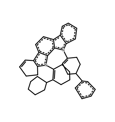 C1=Cc2c(n(C3=C(C4CCCCC4)CCCC3)c3c2ccc2c4ccccc4n(C4=CCC(c5ccccc5)CC4)c23)CC1